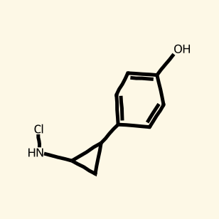 Oc1ccc(C2CC2NCl)cc1